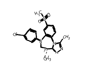 Cc1nnc2n1-c1ccc(S(C)(=O)=O)cc1N(c1ccc(Cl)cc1)C[C@H]2C